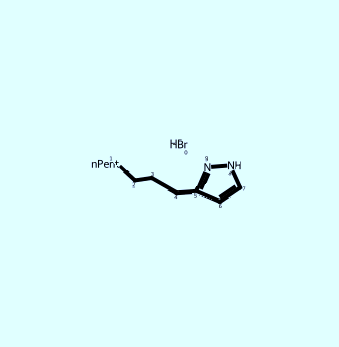 Br.CCCCCCCCc1cc[nH]n1